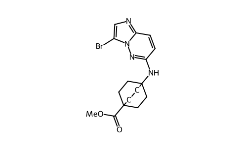 COC(=O)C12CCC(Nc3ccc4ncc(Br)n4n3)(CC1)CC2